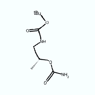 C[C@H](CNC(=O)OC(C)(C)C)OC(N)=O